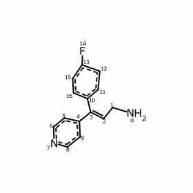 NCC=C(c1ccncc1)c1ccc(F)cc1